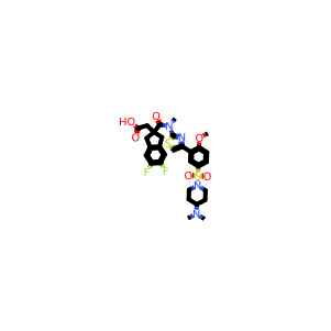 COc1ccc(S(=O)(=O)N2CCC(N(C)C)CC2)cc1-c1csc(N(C)C(=O)C2(CC(=O)O)Cc3cc(F)c(F)cc3C2)n1